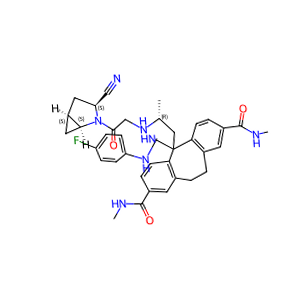 CNC(=O)c1ccc2c(c1)CCc1cc(C(=O)NC)ccc1C2(C[C@@H](C)NCC(=O)N1[C@H](C#N)C[C@@H]2C[C@@H]21)C(=N)Nc1ccc(F)cc1